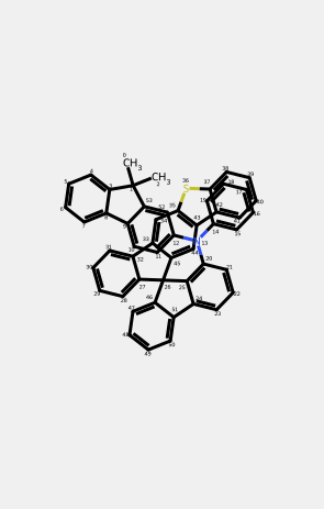 CC1(C)c2ccccc2-c2ccc(N(c3ccccc3)c3cccc4c3C3(c5ccccc5-c5cc6sc7ccccc7c6cc53)c3ccccc3-4)cc21